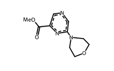 COC(=O)c1cncc(N2CCOCC2)n1